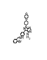 CN1CCN(C2CCC(n3nc(-c4ccc(NCc5ccccc5Br)cc4)c4c(N)ncnc43)CC2)CC1